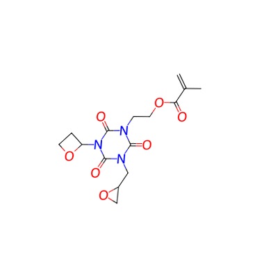 C=C(C)C(=O)OCCn1c(=O)n(CC2CO2)c(=O)n(C2CCO2)c1=O